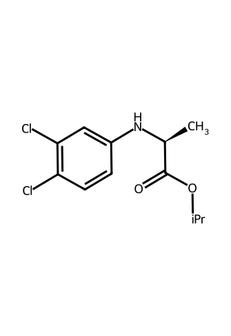 CC(C)OC(=O)[C@H](C)Nc1ccc(Cl)c(Cl)c1